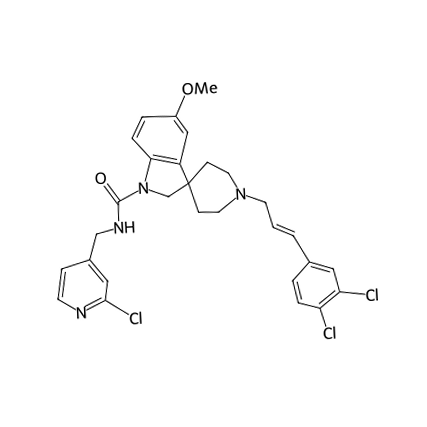 COc1ccc2c(c1)C1(CCN(CC=Cc3ccc(Cl)c(Cl)c3)CC1)CN2C(=O)NCc1ccnc(Cl)c1